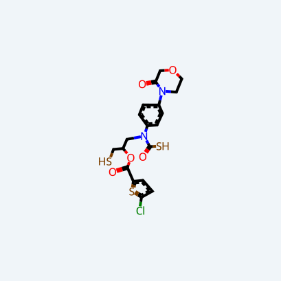 O=C(OC(CS)CN(C(=O)S)c1ccc(N2CCOCC2=O)cc1)c1ccc(Cl)s1